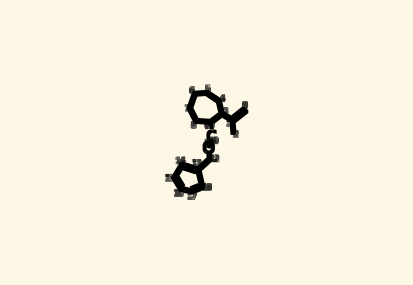 C=C(C)C1CCCCC[C@H]1COCc1ccccc1